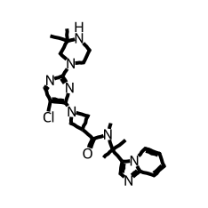 CN(C(=O)C1CN(c2nc(N3CCNC(C)(C)C3)ncc2Cl)C1)C(C)(C)c1cnc2ccccn12